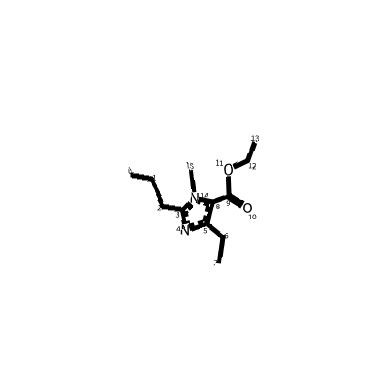 CCCc1nc(CC)c(C(=O)OCC)n1C